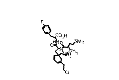 CSCC[C@H](N)C(=O)N(N)[C@@H](CC1(CCCl)C=CC=C(CCCl)C1)C(=O)N[C@@H](Cc1ccc(F)cc1)C(=O)O